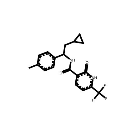 Cc1ccc(C(CC2CC2)NC(=O)c2ccc(C(F)(F)F)[nH]c2=O)cc1